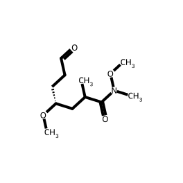 CO[C@H](CCC=O)CC(C)C(=O)N(C)OC